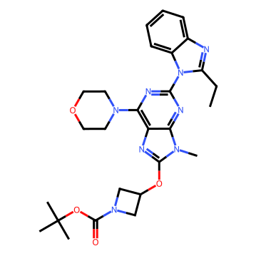 CCc1nc2ccccc2n1-c1nc(N2CCOCC2)c2nc(OC3CN(C(=O)OC(C)(C)C)C3)n(C)c2n1